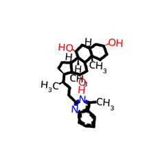 Cc1nc(CC[C@@H](C)[C@H]2CC[C@H]3[C@H]4C(C[C@H](O)[C@]23C)[C@@]2(C)CC[C@@H](O)C[C@H]2C[C@H]4O)nc2ccccc12